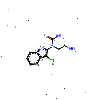 NCCN(C(N)=S)c1[nH]c2ccccc2c1Cl